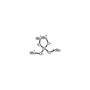 CC(C)(C)O[Si](OC(C)(C)C)(OC(C)(C)C)OC(C)(C)C